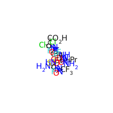 CC(C)c1nn(C(=O)NC(C)(C)C)c(=O)n1N.CCS(=O)(=O)Nc1cc(-n2nc(C(F)(F)F)n(C)c2=O)c(F)cc1C(N)=S.Cc1nn(-c2cc(CC(Cl)C(=O)O)c(Cl)cc2F)c(=O)n1C(F)F